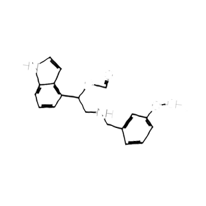 COc1cccc(CNCC(OC=O)c2cccc3[nH]ccc23)c1